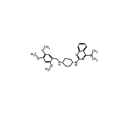 COc1cc(OC)c(OC)cc1CN[C@H]1CC[C@@H](Nc2nc(N(C)C)c3ccccc3n2)CC1